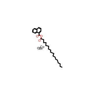 CCCCCCCCCCCCCCCCCC(=O)OC(=O)c1cccc2ccccc12.[Co].[Co].[Co]